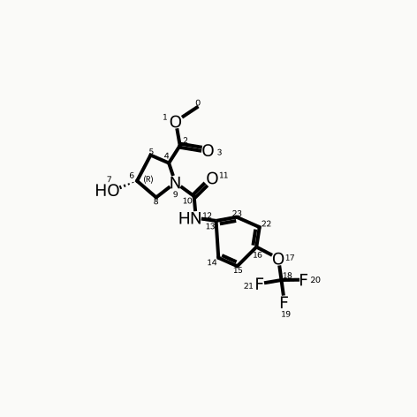 COC(=O)C1C[C@@H](O)CN1C(=O)Nc1ccc(OC(F)(F)F)cc1